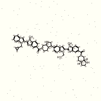 CCn1c(-c2nc3cc(C(=O)N4CC[C@@H]5CCN[C@@H]5C4)ccc3n2C)cc2cc(C3CNC4CN(C(=O)c5ccc6c(c5)nc(-c5cc7cccnc7n5CC5CC5)n6C)CCC43)cnc21